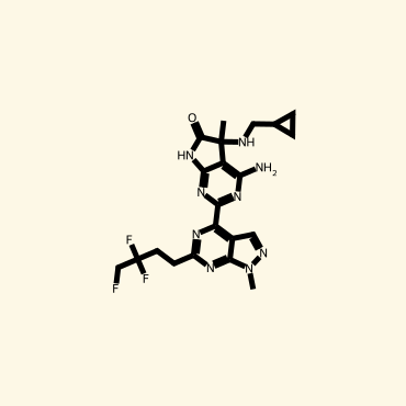 Cn1ncc2c(-c3nc(N)c4c(n3)NC(=O)C4(C)NCC3CC3)nc(CCC(F)(F)CF)nc21